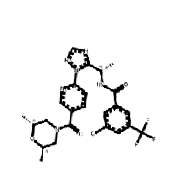 C[C@@H]1CN(C(=O)c2ccc(-n3ncnc3[C@H](C)NC(=O)c3cc(Cl)cc(C(F)(F)F)c3)nc2)C[C@@H](C)O1